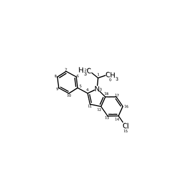 CC(C)n1c(-c2ccccc2)cc2cc(Cl)ccc21